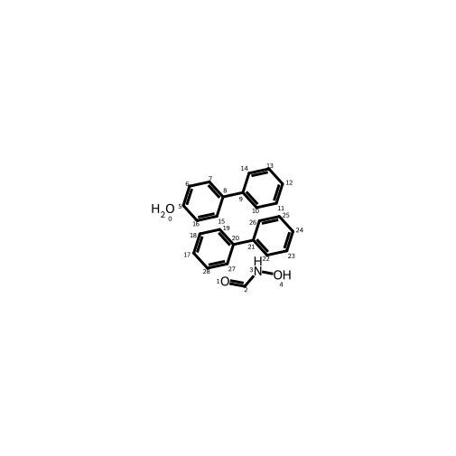 O.O=CNO.c1ccc(-c2ccccc2)cc1.c1ccc(-c2ccccc2)cc1